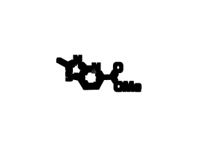 COC(=O)c1ccc2sc(C)nc2n1